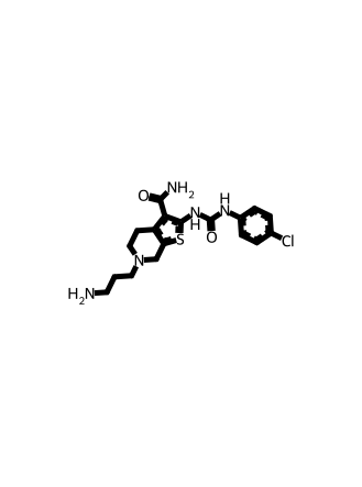 NCCCN1CCc2c(sc(NC(=O)Nc3ccc(Cl)cc3)c2C(N)=O)C1